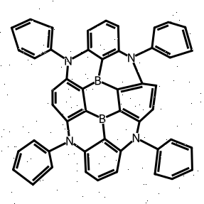 c1ccc(N2c3cccc4c3B3c5c2ccc2c5B5c6c(cccc6N(c6ccccc6)c6ccc(c3c65)N4c3ccccc3)N2c2ccccc2)cc1